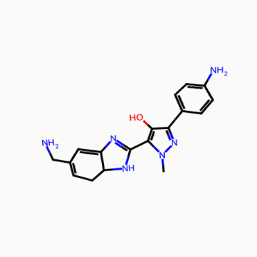 Cn1nc(-c2ccc(N)cc2)c(O)c1C1=NC2=CC(CN)=CCC2N1